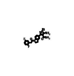 CCn1nc(-c2ccc3c(c2)CCN3C(=O)Cc2cc(F)ccc2F)c(C(N)=O)c1N